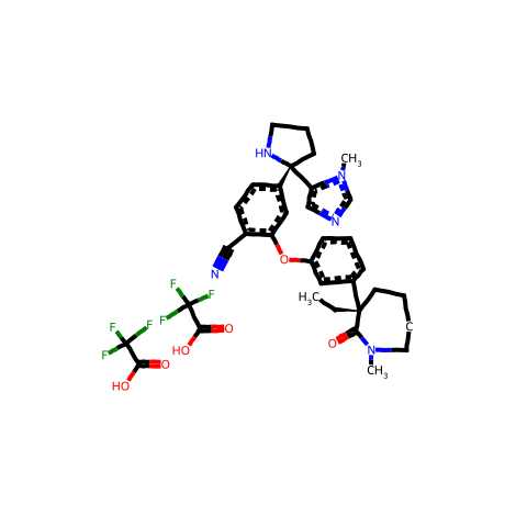 CC[C@@]1(c2cccc(Oc3cc([C@]4(c5cncn5C)CCCN4)ccc3C#N)c2)CCCCN(C)C1=O.O=C(O)C(F)(F)F.O=C(O)C(F)(F)F